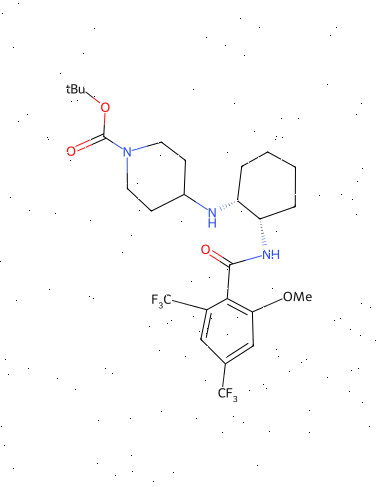 COc1cc(C(F)(F)F)cc(C(F)(F)F)c1C(=O)N[C@H]1CCCC[C@H]1NC1CCN(C(=O)OC(C)(C)C)CC1